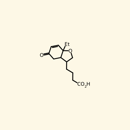 CCC12C=CC(=O)CC1C(CCCC(=O)O)CO2